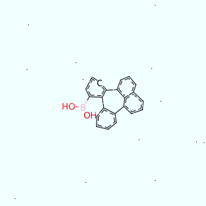 OB(O)c1cccc2c1-c1ccccc1-c1cccc3cccc-2c13